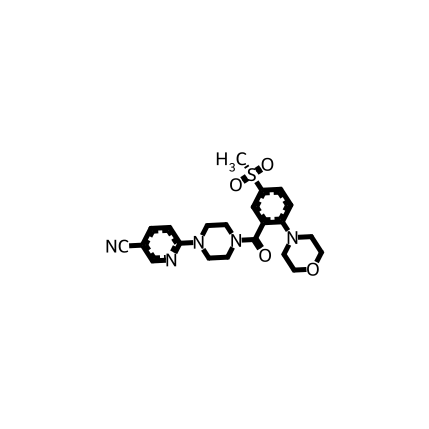 CS(=O)(=O)c1ccc(N2CCOCC2)c(C(=O)N2CCN(c3ccc(C#N)cn3)CC2)c1